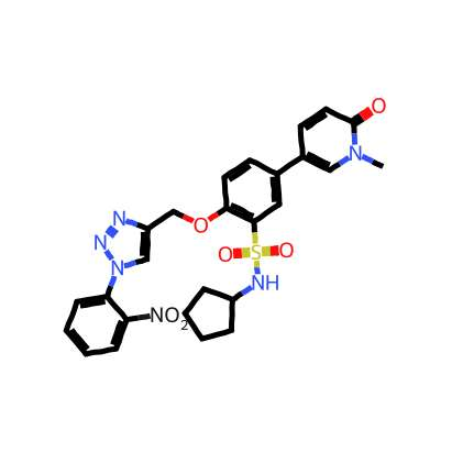 Cn1cc(-c2ccc(OCc3cn(-c4ccccc4[N+](=O)[O-])nn3)c(S(=O)(=O)NC3CCCC3)c2)ccc1=O